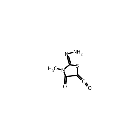 CN1C(=O)C(=C=O)SC1=NN